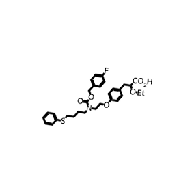 CCOC(Cc1ccc(OCCN(CCCCSc2ccccc2)C(=O)OCc2ccc(F)cc2)cc1)C(=O)O